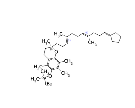 C/C(=C\CC/C(C)=C/CC[C@]1(C)CCc2c(C)c(O[Si](C)(C)C(C)(C)C)c(C)c(C)c2O1)CCC=C1CCCC1